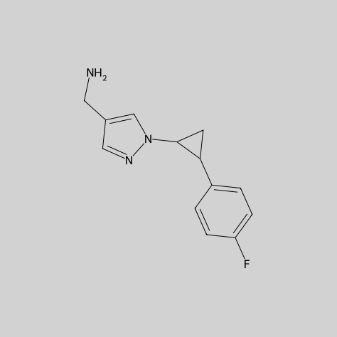 NCc1cnn(C2CC2c2ccc(F)cc2)c1